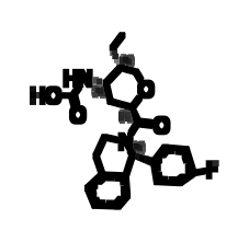 CC[C@@H]1CO[C@@H](C(=O)N2CCc3ccccc3[C@@H]2c2ccc(F)cc2)C[C@@H]1NC(=O)O